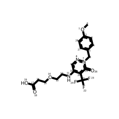 COc1ccc(Cn2ncc(NCCOCCC(=O)O)c(C(F)(F)F)c2=O)cc1